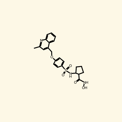 Cc1cc(COc2ccc(S(=O)(=O)NC3CCCC3C(=O)NO)cc2)c2ccccc2n1